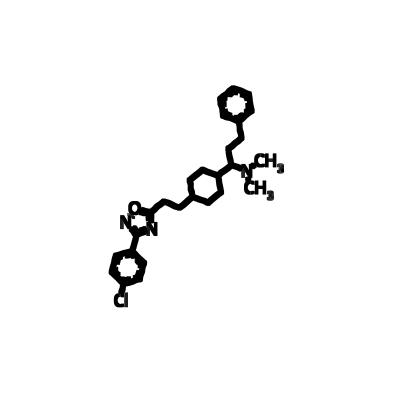 CN(C)C(CCc1ccccc1)C1CCC(CCc2nc(-c3ccc(Cl)cc3)no2)CC1